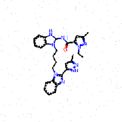 CCn1nc(C)cc1C(=O)NC1Nc2ccccc2N1CCCCn1c(-c2cc(C)n[nH]2)nc2ccccc21